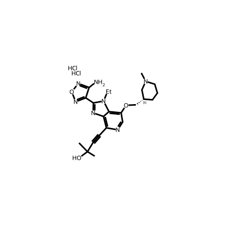 CCn1c(-c2nonc2N)nc2c(C#CC(C)(C)O)ncc(OC[C@H]3CCCN(C)C3)c21.Cl.Cl